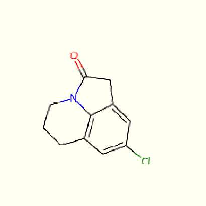 O=C1Cc2cc(Cl)cc3c2N1CCC3